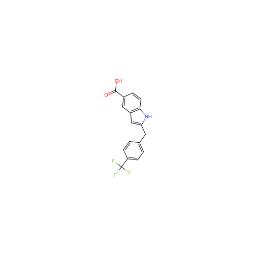 O=C(O)c1ccc2[nH]c(Cc3ccc(C(F)(F)F)cc3)cc2c1